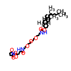 CC(C)CCC[C@@H](C)[C@H]1CC[C@H]2[C@@H]3CC=C4CC(OC(=O)NCCCOCCOCCOCCNC(=O)CCC(=O)ON5C(=O)CCC5=O)CC[C@]4(C)[C@H]3CC[C@]12C